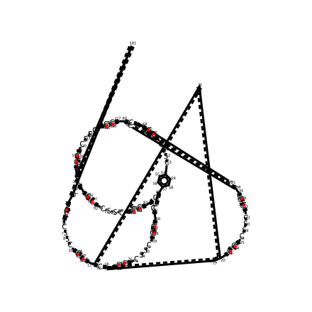 c1cc2ccc1CSSCc1ccc(cc1)-c1cc3cc(c1)-c1ccc(cc1)CSSCc1ccc(cc1)-c1cc4cc(c1)-c1ccc(cc1)CSSCc1ccc(cc1)-c1cc(cc(c1)-c1ccc(cc1)CSSCc1ccc-3cc1)-c1ccc(cc1)CSSCc1ccc(cc1)-c1cc-2cc(c1)-c1ccc(cc1)CSSCc1ccc-4cc1